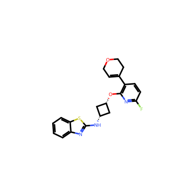 Fc1ccc(C2=CCOCC2)c(O[C@H]2C[C@@H](Nc3nc4ccccc4s3)C2)n1